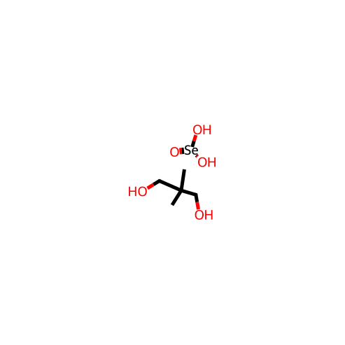 CC(C)(CO)CO.O=[Se](O)O